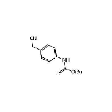 CC(C)COC(=O)Nc1ccc(CC#N)cc1